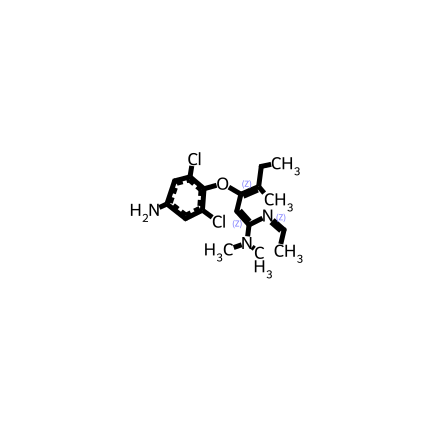 C\C=N/C(=C\C(Oc1c(Cl)cc(N)cc1Cl)=C(/C)CC)N(C)C